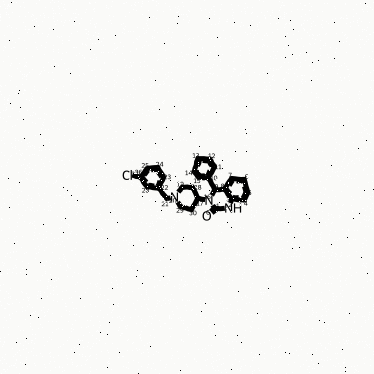 O=C1Nc2ccccc2C(c2ccccc2)N1C1CCN(Cc2cccc(Cl)c2)CC1